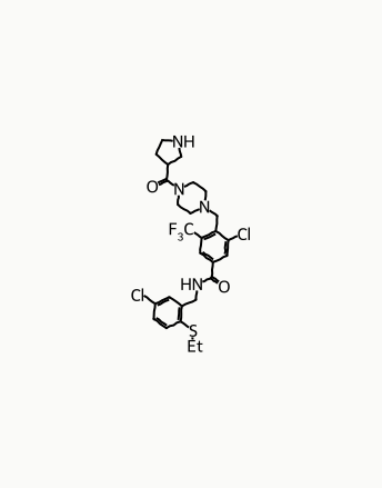 CCSc1ccc(Cl)cc1CNC(=O)c1cc(Cl)c(CN2CCN(C(=O)C3CCNC3)CC2)c(C(F)(F)F)c1